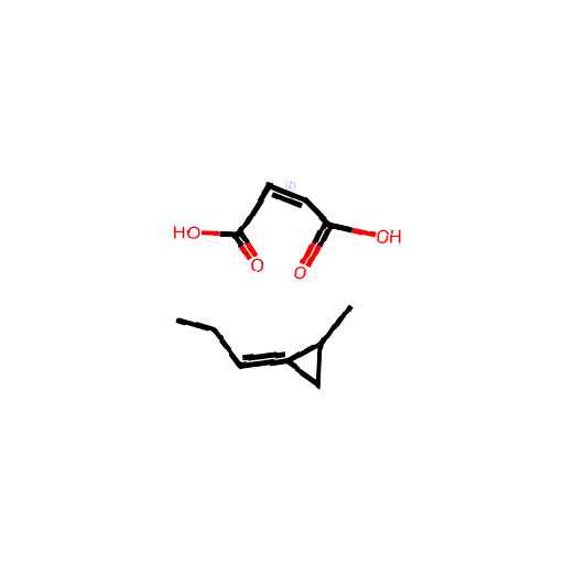 CCC=C1CC1C.O=C(O)/C=C\C(=O)O